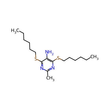 CCCCCCSc1nc(C)nc(SCCCCCC)c1N